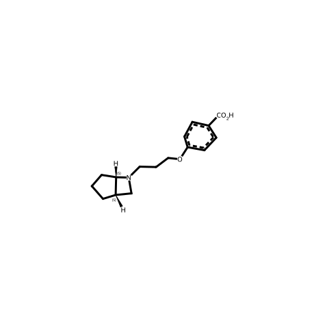 O=C(O)c1ccc(OCCCN2C[C@@H]3CCC[C@@H]32)cc1